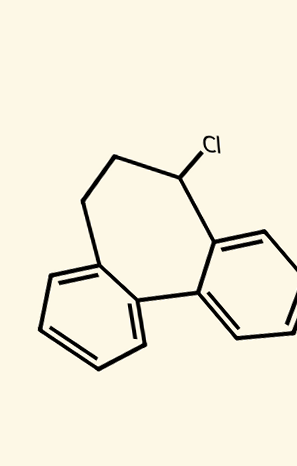 ClC1CCc2ccccc2-c2ccccc21